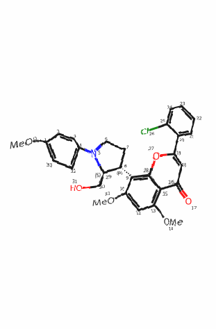 COc1ccc(N2CC[C@H](c3c(OC)cc(OC)c4c(=O)cc(-c5ccccc5Cl)oc34)[C@H]2CO)cc1